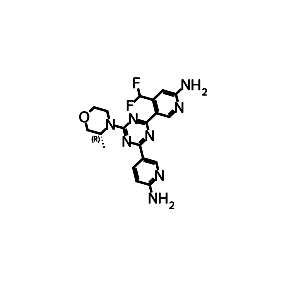 C[C@@H]1COCCN1c1nc(-c2ccc(N)nc2)nc(-c2cnc(N)cc2C(F)F)n1